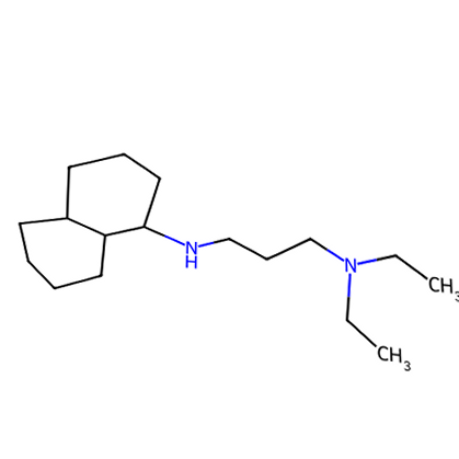 CCN(CC)CCCNC1CCCC2CCCCC21